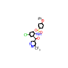 CC(C)Oc1ccc(S(=O)(=O)Nc2ccc(Cl)cc2C(=O)c2cnnc(C(F)(F)F)c2)cc1